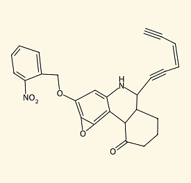 C#C/C=C\C#CC1Nc2cc(OCc3ccccc3[N+](=O)[O-])c3c(c2C2C(=O)CCCC12)O3